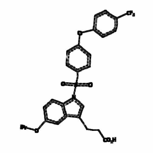 CC(C)Oc1ccc2c(c1)c(CCC(=O)O)cn2S(=O)(=O)c1ccc(Oc2ccc(C(F)(F)F)cc2)cc1